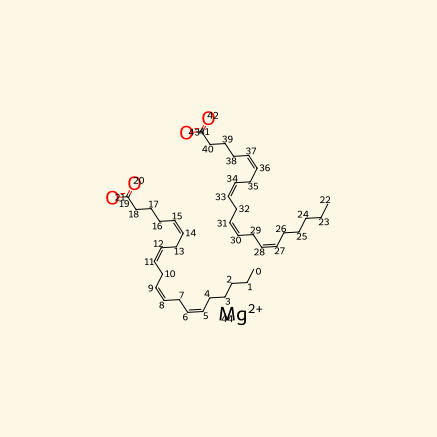 CCCCC/C=C\C/C=C\C/C=C\C/C=C\CCCC(=O)[O-].CCCCC/C=C\C/C=C\C/C=C\C/C=C\CCCC(=O)[O-].[Mg+2]